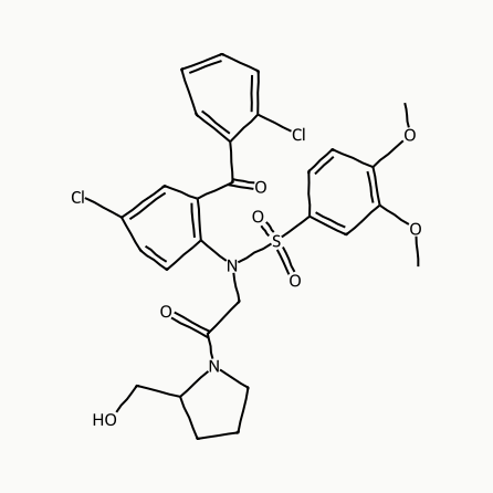 COc1ccc(S(=O)(=O)N(CC(=O)N2CCCC2CO)c2ccc(Cl)cc2C(=O)c2ccccc2Cl)cc1OC